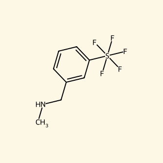 CNCc1cccc(S(F)(F)(F)(F)F)c1